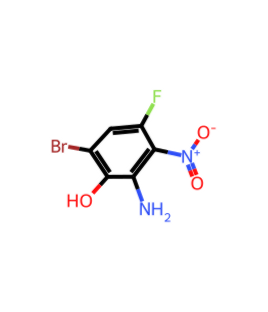 Nc1c(O)c(Br)cc(F)c1[N+](=O)[O-]